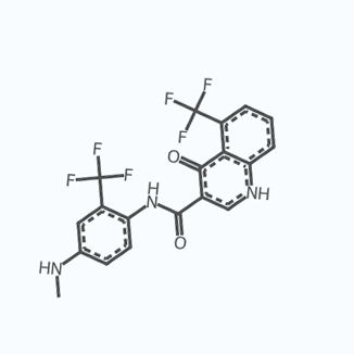 CNc1ccc(NC(=O)c2c[nH]c3cccc(C(F)(F)F)c3c2=O)c(C(F)(F)F)c1